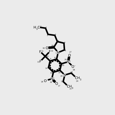 CCCCC1CCN(c2c(C(F)(F)F)cc([N+](=O)[O-])c(N(CC)CC)c2[N+](=O)[O-])C1=O